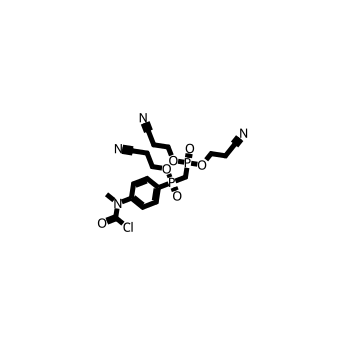 CN(C(=O)Cl)c1ccc(P(=O)(CP(=O)(OCCC#N)OCCC#N)OCCC#N)cc1